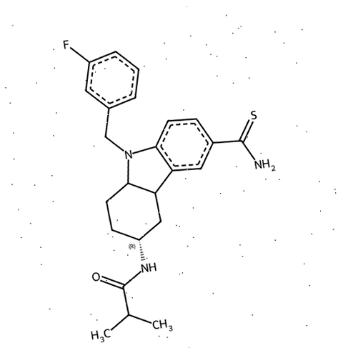 CC(C)C(=O)N[C@@H]1CCC2C(C1)c1cc(C(N)=S)ccc1N2Cc1cccc(F)c1